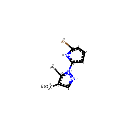 CCOC(=O)c1cnn(-c2cccc(Br)n2)c1C(C)C